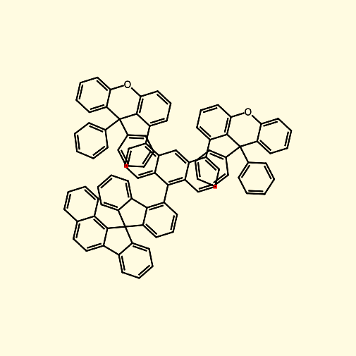 c1ccc(C2(c3ccccc3)c3ccccc3Oc3cccc(-c4cccc5c(-c6cccc7c6-c6ccccc6C76c7ccccc7-c7ccc8ccccc8c76)c6cccc(-c7cccc8c7C(c7ccccc7)(c7ccccc7)c7ccccc7O8)c6cc45)c32)cc1